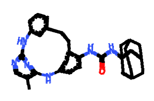 Cc1cnc2nc1Nc1ccc(NC(=O)NC34CC5CC(CC(C5)C3)C4)c(c1)CCc1cccc(c1)N2